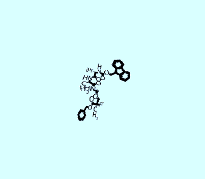 CC(C)[C@H](NC(=O)OCC1c2ccccc2-c2ccccc21)C(=O)N[C@@H](C)C(=O)NCOC[C@@](C)(F)C(=O)OCc1ccccc1